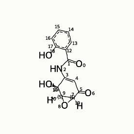 O=C(NC1=CC(=O)[C@H]2O[C@H]2[C@H]1O)c1ccccc1O